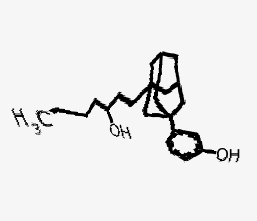 CCCCC(O)CCC12CC3CC(C1)CC(c1cccc(O)c1)(C3)C2